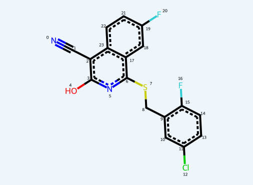 N#Cc1c(O)nc(SCc2cc(Cl)ccc2F)c2cc(F)ccc12